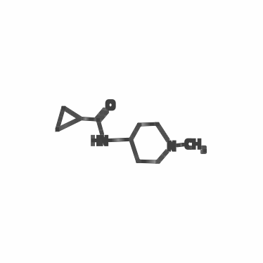 CN1CCC(NC(=O)C2CC2)CC1